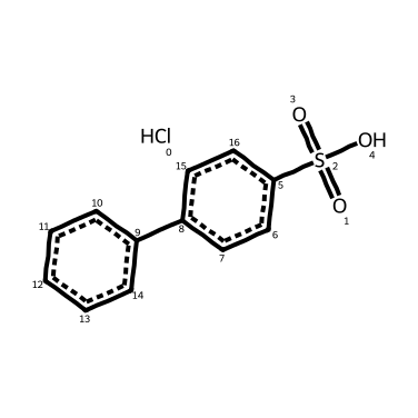 Cl.O=S(=O)(O)c1ccc(-c2ccccc2)cc1